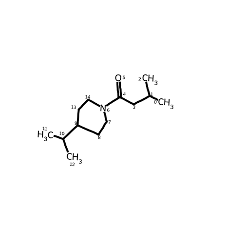 CC(C)CC(=O)N1CCC(C(C)C)CC1